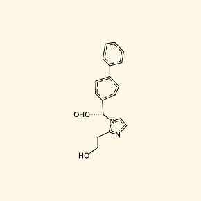 O=C[C@H](c1ccc(-c2ccccc2)cc1)n1ccnc1CCO